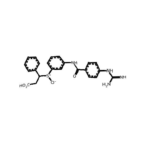 N=C(N)Nc1ccc(C(=O)Nc2cccc([S+]([O-])C(CC(=O)O)c3ccccc3)c2)cc1